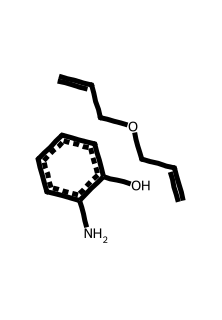 C=CCOCC=C.Nc1ccccc1O